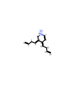 C=CCC=C1CNC=C/C1=C\CC=C